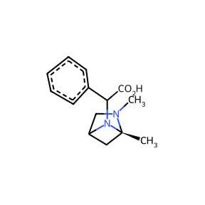 CN1CC2C[C@]1(C)N2C(C(=O)O)c1ccccc1